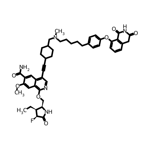 CC[C@@H]1[C@H](F)C(=O)N[C@@H]1COc1ncc(C#CC2CCC(CN(C)CCCCCc3ccc(Oc4cccc5c4C(=O)NC(=O)C5)cc3)CC2)c2cc(C(N)=O)c(OC)cc12